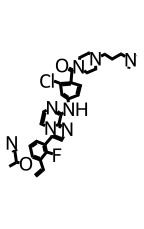 C=Cc1c(OC(C)C#N)ccc(-c2cnc3c(Nc4ccc(C(=O)N5CCN(CCCN(C)C)CC5)c(Cl)c4)nccn23)c1F